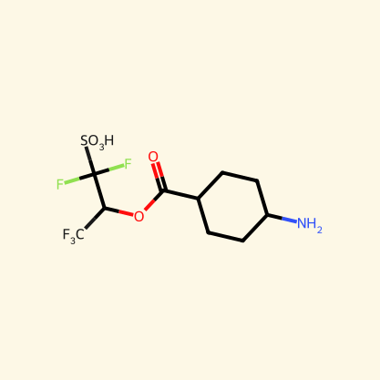 NC1CCC(C(=O)OC(C(F)(F)F)C(F)(F)S(=O)(=O)O)CC1